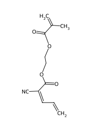 C=CC=C(C#N)C(=O)OCCOC(=O)C(=C)C